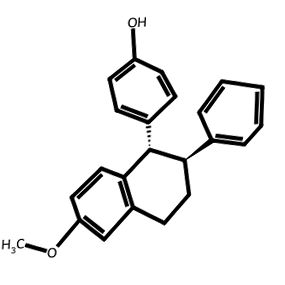 COc1ccc2c(c1)CC[C@H](c1ccccc1)[C@H]2c1ccc(O)cc1